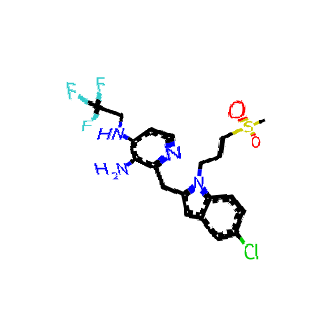 CS(=O)(=O)CCCn1c(Cc2nccc(NCC(F)(F)F)c2N)cc2cc(Cl)ccc21